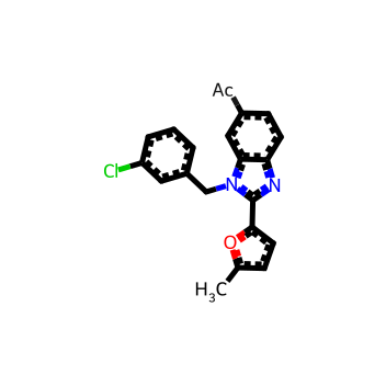 CC(=O)c1ccc2nc(-c3ccc(C)o3)n(Cc3cccc(Cl)c3)c2c1